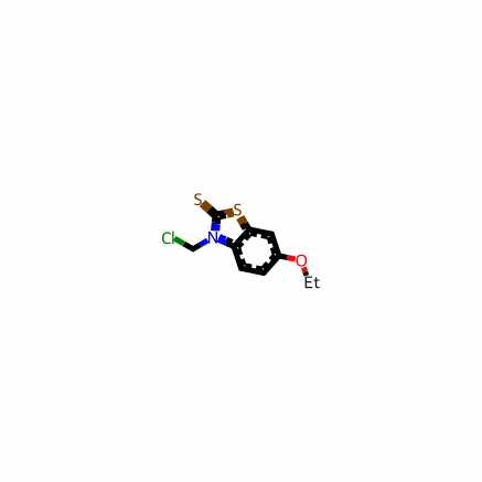 CCOc1ccc2c(c1)sc(=S)n2CCl